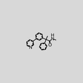 CNC(=O)C(C)(c1ccccc1)c1cccc(-c2cccnc2)c1